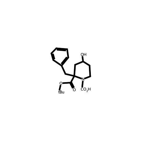 CC(C)(C)OC(=O)C1(Cc2ccccc2)CC(O)CCN1C(=O)O